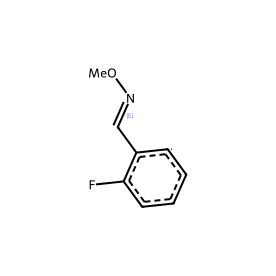 CO/N=C/c1[c]cccc1F